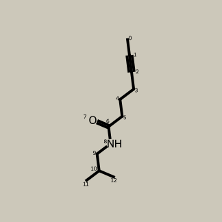 CC#CCCCC(=O)NCC(C)C